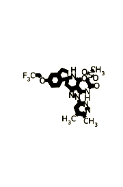 Cc1cc(-n2nc3c(c2NC(=O)CS(C)(=O)=O)C(=O)N[C@@]2(CCc4cc(OCC(F)(F)F)ccc42)C3)nnc1C